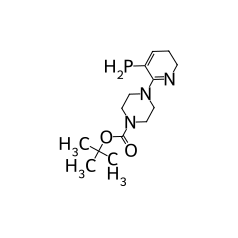 CC(C)(C)OC(=O)N1CCN(C2=NCCC=C2P)CC1